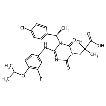 CC(C)Oc1ccc(Nc2nc(=O)n(CC(C)(C)C(=O)O)c(=O)n2[C@H](C)c2ccc(Cl)cc2)cc1F